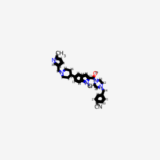 Cc1ccc(CN2CCC(c3ccc4c(c3)cc(C(=O)N3CCN(Cc5ccc(C#N)cc5)CC3)n4C)CC2)cn1